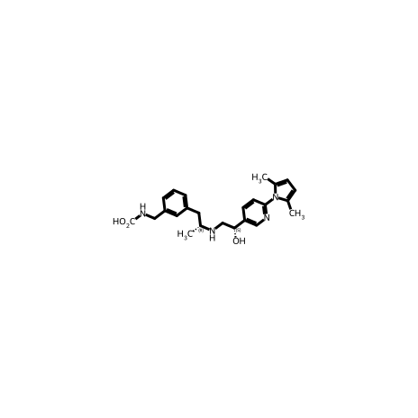 Cc1ccc(C)n1-c1ccc([C@H](O)CN[C@H](C)Cc2cccc(CNC(=O)O)c2)cn1